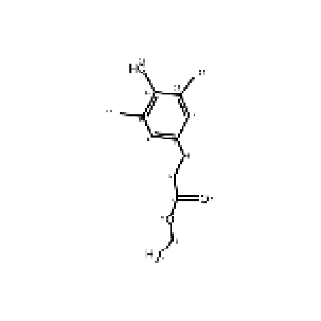 CCOC(=O)CCc1cc(I)c(O)c(I)c1